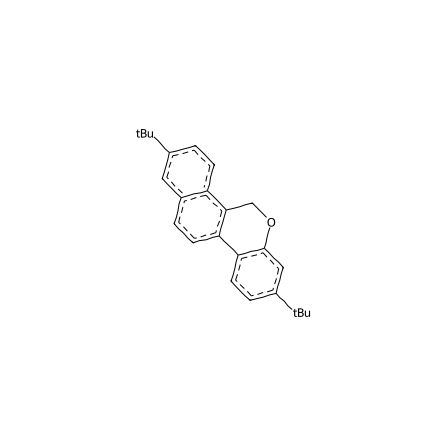 CC(C)(C)c1ccc2c(c1)OCc1c-2ccc2cc(C(C)(C)C)ccc12